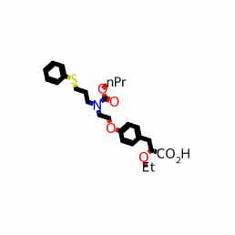 CCCOC(=O)N(CCCSc1ccccc1)CCOc1ccc(CC(OCC)C(=O)O)cc1